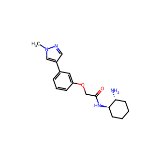 Cn1cc(-c2c[c]cc(OCC(=O)N[C@@H]3CCCC[C@H]3N)c2)cn1